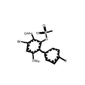 COc1cc(Br)c(OC)c(OS(C)(=O)=O)c1-c1ccc(F)cc1